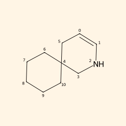 C1=CNCC2(C1)CCCCC2